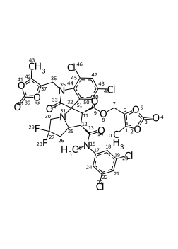 Cc1oc(=O)oc1COC(=O)[C@H]1[C@@H](C(=O)N(C)c2cc(Cl)cc(Cl)c2)C2CC(F)(F)CN2C12C(=O)N(Cc1oc(=O)oc1C)c1c(Cl)cc(Cl)cc12